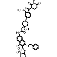 Cn1nc(C2CCC(=O)NC2=O)c2ccc(N3CCC(O)(CC(=O)Nc4ccc5c(F)c(N6CC(=O)NS6(=O)=O)c(OCc6ccccc6)cc5c4)CC3)cc21